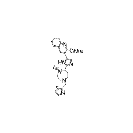 COc1nc2ccccc2cc1-c1cnc(C2CCN(Cc3nccs3)CCN2C(C)=O)[nH]1